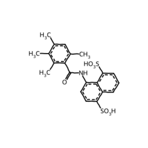 Cc1cc(C)c(C(=O)Nc2ccc(S(=O)(=O)O)c3cccc(S(=O)(=O)O)c23)c(C)c1C